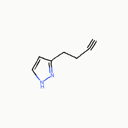 [C]#CCCc1cc[nH]n1